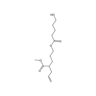 C=CCC(CCCOC(=O)CCCCO)C(=O)OC